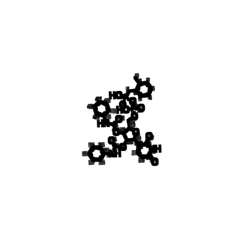 Cc1ccccc1CP(=O)(O)OP(=O)(O)OC[C@H]1O[C@@H](n2ccc(=O)[nH]c2=O)[C@@H](OC(=O)Nc2ccccc2)C1OC(=O)Nc1ccccc1